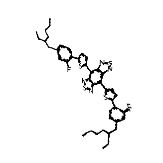 CCCCC(CC)Cc1ccc(-c2ccc(-c3c4c(c(-c5ccc(-c6ccc(CC(CC)CCCC)cc6F)s5)c5nsnc35)N=S=N4)s2)c(F)c1